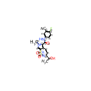 C[C@H](O)[C@H]1C=Cc2c(cn(C)c2C(=O)Nc2ccc(F)c(C#N)c2)S(=O)(=O)N1